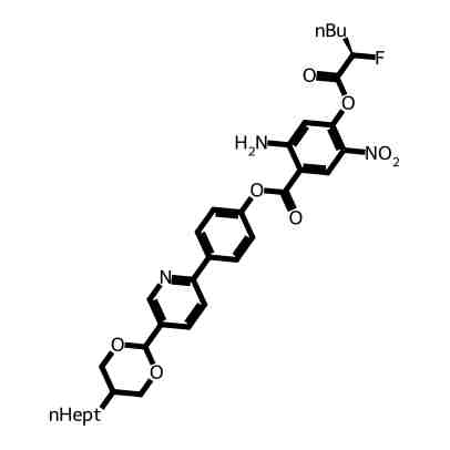 CCCCCCCC1COC(c2ccc(-c3ccc(OC(=O)c4cc([N+](=O)[O-])c(OC(=O)[C@H](F)CCCC)cc4N)cc3)nc2)OC1